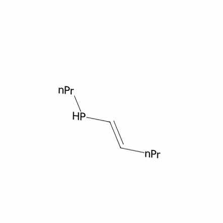 CCCC=CPCCC